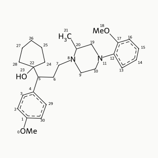 COc1ccc(C(CCN2CCN(c3ccccc3OC)CC2C)C2(O)CCCCC2)cc1